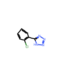 Clc1ccc[c]c1-c1nnn[nH]1